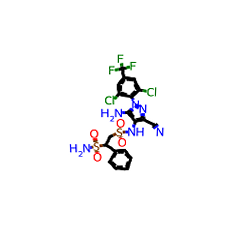 N#Cc1nn(-c2c(Cl)cc(C(F)(F)F)cc2Cl)c(N)c1NS(=O)(=O)CC(c1ccccc1)S(N)(=O)=O